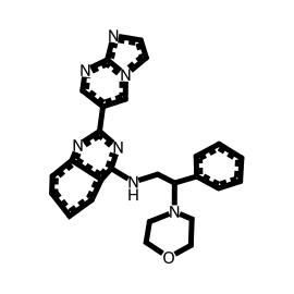 c1ccc(C(CNc2nc(-c3cnc4nccn4c3)nc3ccccc23)N2CCOCC2)cc1